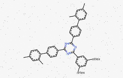 CCCCCCc1cc(CCCCCC)cc(-c2nc(-c3ccc(-c4ccc(C)cc4C)cc3)nc(-c3ccc(-c4ccc(C)cc4C)cc3)n2)c1